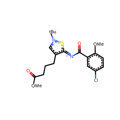 COC(=O)CCCc1cn(C(C)(C)C)s/c1=N\C(=O)c1cc(Cl)ccc1OC